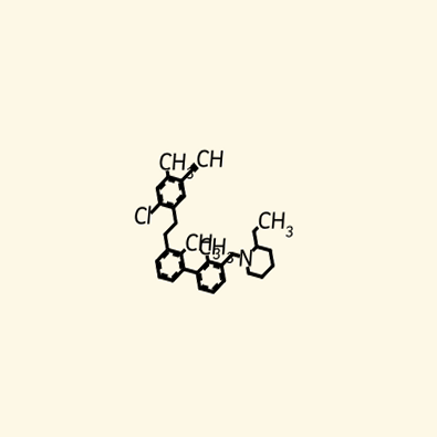 C#Cc1cc(CCc2cccc(-c3cccc(CN4CCCCC4CC)c3C)c2C)c(Cl)cc1C